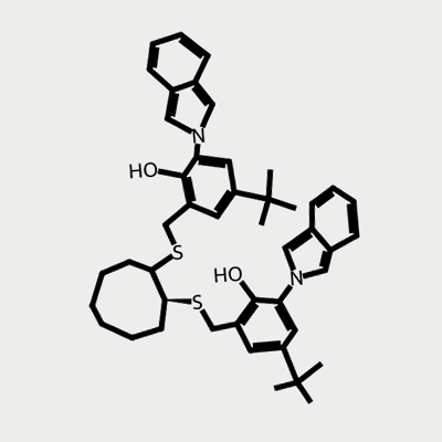 CC(C)(C)c1cc(CSC2CCCCCC[C@@H]2SCc2cc(C(C)(C)C)cc(-n3cc4ccccc4c3)c2O)c(O)c(-n2cc3ccccc3c2)c1